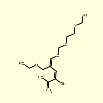 C=C(O)/C(O)=C\C(=C/OCOCCOCO)COCO